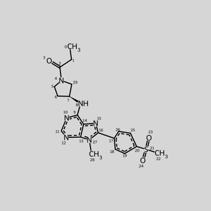 CCC(=O)N1CC[C@H](Nc2ncnc3c2nc(-c2ccc(S(C)(=O)=O)cc2)n3C)C1